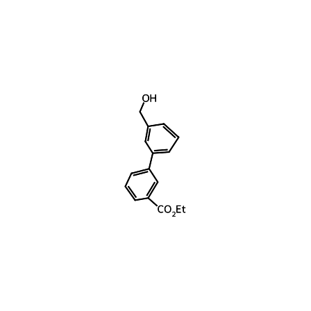 CCOC(=O)c1cccc(-c2cccc(CO)c2)c1